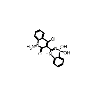 Nn1c(=O)c(C2=NS(O)(O)c3ccccc3N2)c(O)c2ccccc21